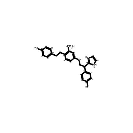 O=C(O)c1cc(OCC(c2ccc(F)cc2)c2ncc[nH]2)ccc1CCc1ccc(F)cc1